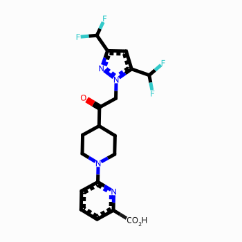 O=C(O)c1cccc(N2CCC(C(=O)Cn3nc(C(F)F)cc3C(F)F)CC2)n1